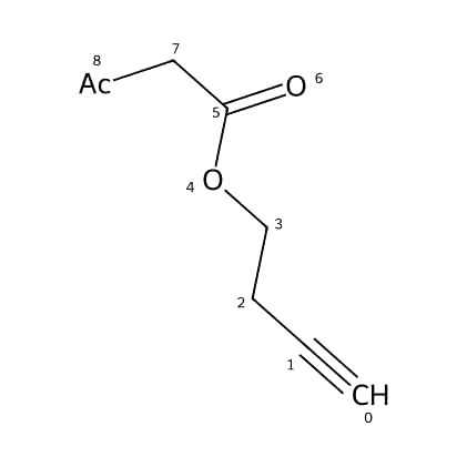 C#CCCOC(=O)CC(C)=O